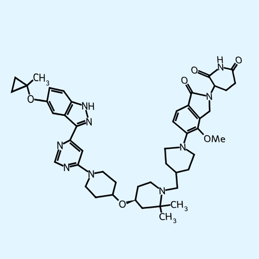 COc1c(N2CCC(CN3CC[C@H](OC4CCN(c5cc(-c6n[nH]c7ccc(OC8(C)CC8)cc67)ncn5)CC4)CC3(C)C)CC2)ccc2c1CN(C1CCC(=O)NC1=O)C2=O